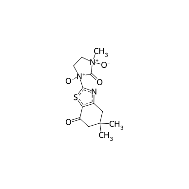 CC1(C)CC(=O)c2sc([N+]3([O-])CC[N+](C)([O-])C3=O)nc2C1